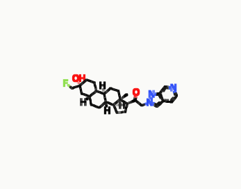 C[C@]12CC[C@@H]3C4CC[C@](O)(CF)C[C@H]4CC[C@H]3[C@@H]1CC[C@@H]2C(=O)Cn1cc2ccncc2n1